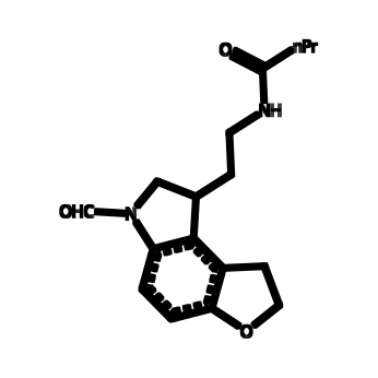 CCCC(=O)NCCC1CN(C=O)c2ccc3c(c21)CCO3